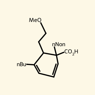 CCCCCCCCCC1(C(=O)O)C=CC=C(CCCC)C1CCOC